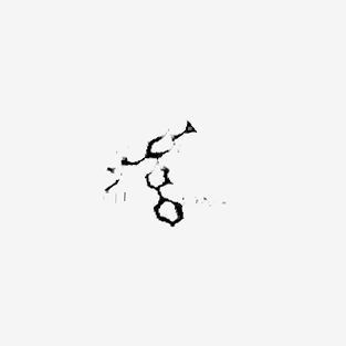 COc1ccccc1C1CCN(c2nc(C3CC3)ncc2CC(=O)N(C)CCO)CC1